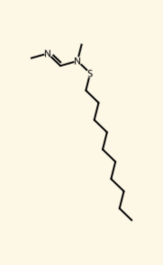 CCCCCCCCCCSN(C)C=NC